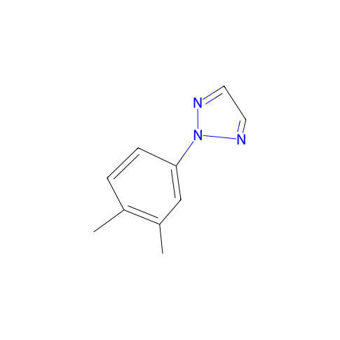 Cc1ccc(-n2nccn2)cc1C